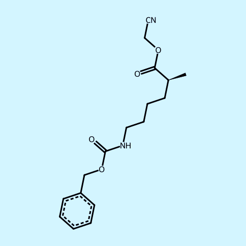 C[C@@H](CCCCNC(=O)OCc1ccccc1)C(=O)OCC#N